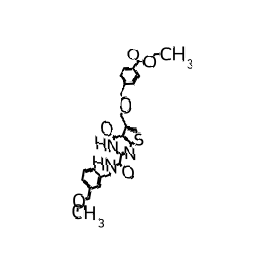 CCOC(=O)c1ccc(COCc2csc3nc(C(=O)NCc4cccc(COC)c4)[nH]c(=O)c23)cc1